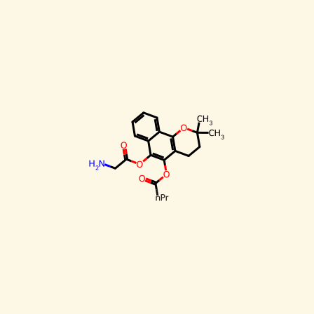 CCCC(=O)Oc1c2c(c3ccccc3c1OC(=O)CN)OC(C)(C)CC2